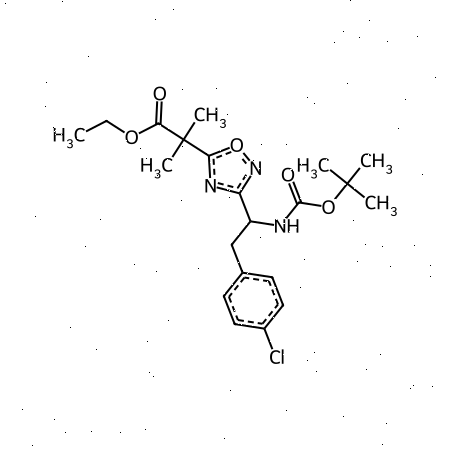 CCOC(=O)C(C)(C)c1nc(C(Cc2ccc(Cl)cc2)NC(=O)OC(C)(C)C)no1